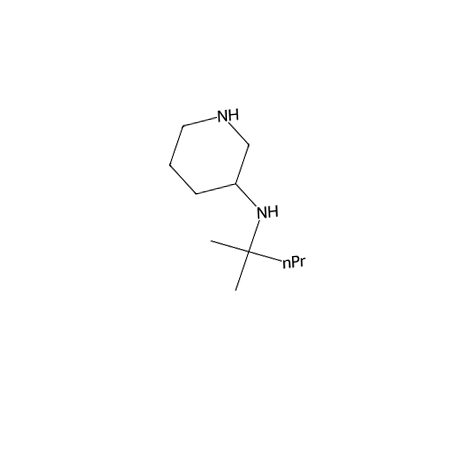 CCCC(C)(C)NC1CCCNC1